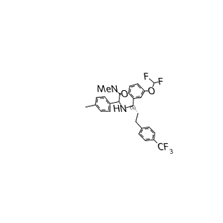 CNC(=O)C(N[C@@H](CCc1ccc(C(F)(F)F)cc1)c1cccc(OC(F)F)c1)c1ccc(C)cc1